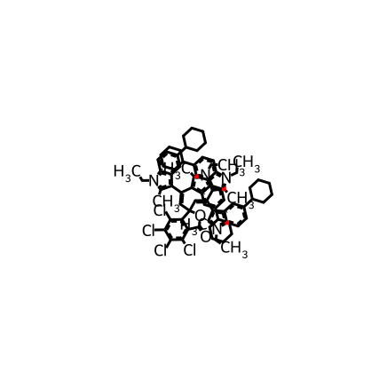 CCn1c(C)c(C(=CC2(C=C(c3c(C)n(CC)c4ccc(C5CCCCC5)cc34)c3c(C)n(CC)c4ccc(C5CCCCC5)cc34)OC(=O)c3c(Cl)c(Cl)c(Cl)c(Cl)c32)c2c(C)n(CC)c3ccc(C4CCCCC4)cc23)c2cc(C3CCCCC3)ccc21